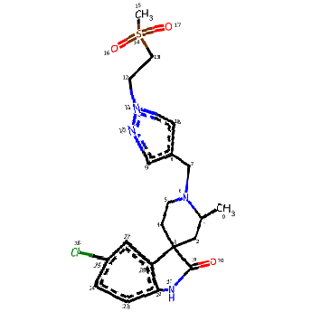 CC1CC2(CCN1Cc1cnn(CCS(C)(=O)=O)c1)C(=O)Nc1ccc(Cl)cc12